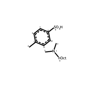 CCCCCCCCN(C)C.Cc1ccc(S(=O)(=O)O)cc1